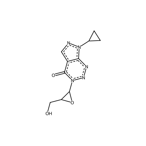 O=c1c2cnn(C3CC3)c2nnn1C1OC1CO